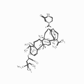 C=C(C)[C@@H]1CC[C@]2(CC(=O)N3CCNC(=O)C3)CC[C@]3(C)[C@H](CC[C@@H]4[C@@]5(C)CC[C@H](OC(=O)CC(C)(C)C(=O)O)C(C)(C)[C@@H]5CC[C@]43C)[C@@H]12